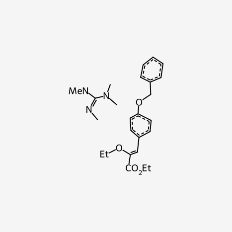 CCOC(=O)C(=Cc1ccc(OCc2ccccc2)cc1)OCC.CN=C(NC)N(C)C